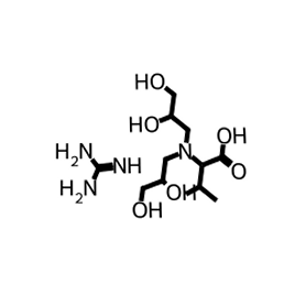 CC(C)C(C(=O)O)N(CC(O)CO)CC(O)CO.N=C(N)N